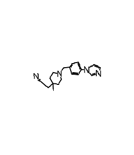 CC1(CC#N)CCN(Cc2ccc(-n3ccnc3)cc2)CC1